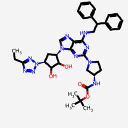 CCc1nnn([C@H]2C[C@@H](n3cnc4c(NCC(c5ccccc5)c5ccccc5)nc(N5CC[C@@H](NC(=O)OC(C)(C)C)C5)nc43)C(O)C2O)n1